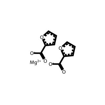 O=C([O-])c1ccco1.O=C([O-])c1ccco1.[Mg+2]